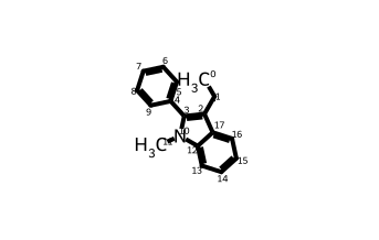 C[CH]c1c(-c2ccccc2)n(C)c2ccccc12